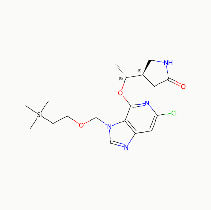 C[C@@H](Oc1nc(Cl)cc2ncn(COCC[Si](C)(C)C)c12)[C@H]1CNC(=O)C1